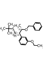 CCOc1cccc([C@H](NSC(C)(C)C)[C@H](C)OCc2ccccc2)c1